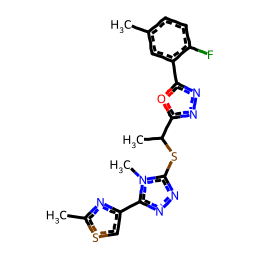 Cc1ccc(F)c(-c2nnc(C(C)Sc3nnc(-c4csc(C)n4)n3C)o2)c1